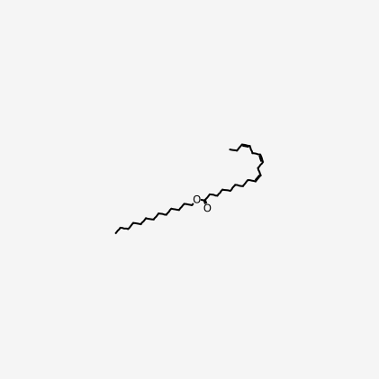 CC/C=C\C/C=C\C/C=C\CCCCCCCC(=O)OCCCCCCCCCCCCC